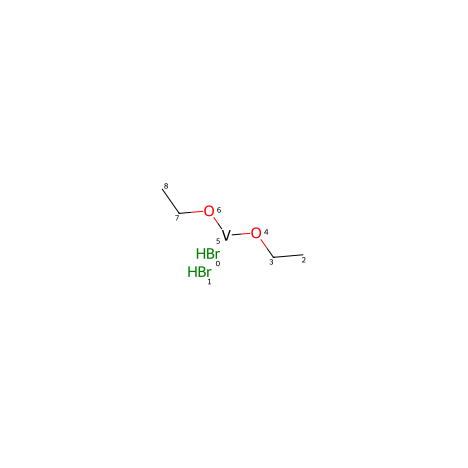 Br.Br.CC[O][V][O]CC